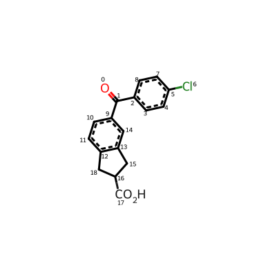 O=C(c1ccc(Cl)cc1)c1ccc2c(c1)CC(C(=O)O)C2